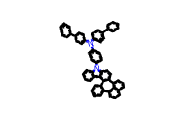 c1ccc(-c2ccc(N(c3ccc(-c4ccccc4)cc3)c3ccc(-n4c5ccccc5c5c6c(ccc54)-c4cccc5cccc(c45)-c4ccccc4-6)cc3)cc2)cc1